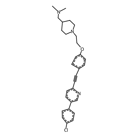 CN(C)CC1CCN(CCOc2ccc(C#Cc3ccc(-c4ccc(Cl)cc4)cn3)cc2)CC1